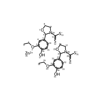 CCOc1cc(C2OCCN2C(=S)[S-])ccc1O.CCOc1cc(C2OCCN2C(=S)[S-])ccc1O.[Zn+2]